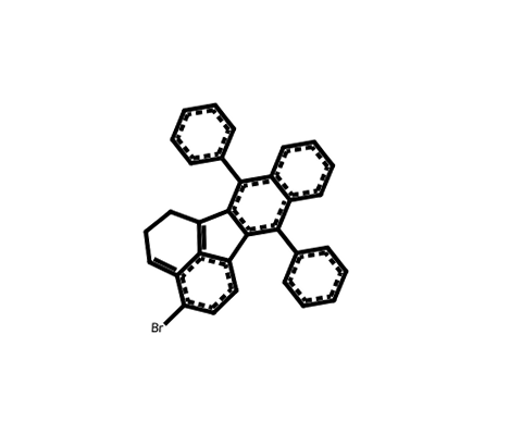 Brc1ccc2c3c1=CCCC=3c1c-2c(-c2ccccc2)c2ccccc2c1-c1ccccc1